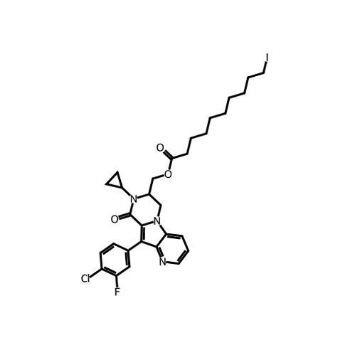 O=C(CCCCCCCCCI)OCC1Cn2c(c(-c3ccc(Cl)c(F)c3)c3ncccc32)C(=O)N1C1CC1